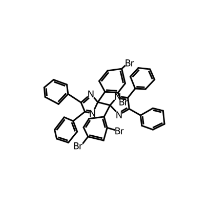 Brc1ccc(C2(C3(c4ccc(Br)cc4Br)N=C(c4ccccc4)C(c4ccccc4)=N3)N=C(c3ccccc3)C(c3ccccc3)=N2)c(Br)c1